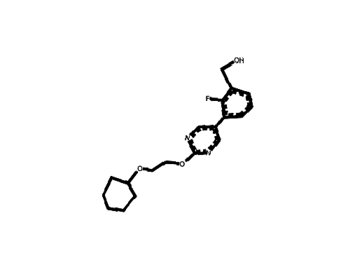 OCc1cccc(-c2cnc(OCCOC3CCCCC3)nc2)c1F